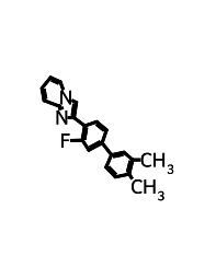 Cc1ccc(-c2ccc(-c3cn4ccccc4n3)c(F)c2)cc1C